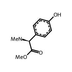 CN[C@H](C(=O)OC)c1ccc(O)cc1